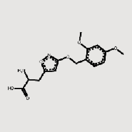 COc1ccc(COc2cc(CC(N)C(=O)O)on2)c(OC)c1